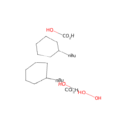 CCCCC1CCCCC1.CCCCC1CCCCC1.O=C(O)O.O=C(O)O.OO